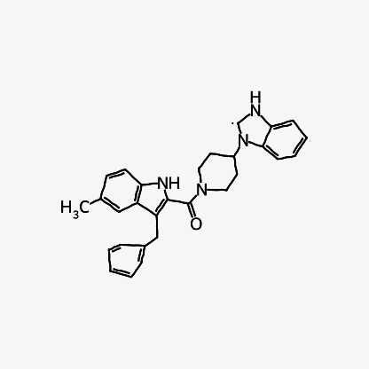 Cc1ccc2[nH]c(C(=O)N3CCC(N4[CH]Nc5ccccc54)CC3)c(Cc3ccccc3)c2c1